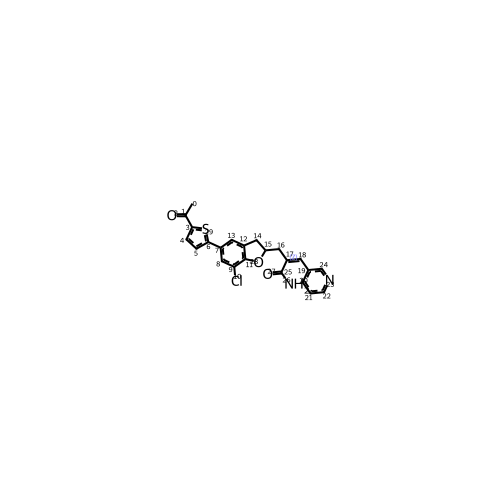 CC(=O)c1ccc(-c2cc(Cl)c3c(c2)CC(C/C(=C/c2cccnc2)C(N)=O)O3)s1